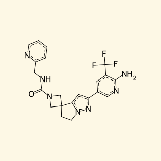 Nc1ncc(-c2cc3n(n2)CCC32CN(C(=O)NCc3ccccn3)C2)cc1C(F)(F)F